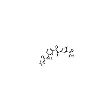 Cn1cc(NC(=O)c2cccc(NC(=O)OC(C)(C)C)n2)cc1C(=O)O